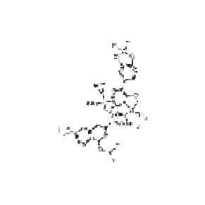 Cc1cnc2c(OC(F)F)cc(C(=O)NCC(O)(c3cc4c(c(-c5ccc6c(c5)OC(F)(F)O6)n3)OC[C@]4(C)C(N)=O)C3CC3)cc2c1